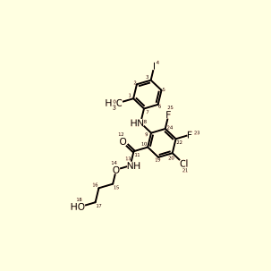 Cc1cc(I)ccc1Nc1c(C(=O)NOCCCO)cc(Cl)c(F)c1F